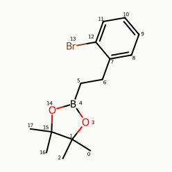 CC1(C)OB(CCc2ccccc2Br)OC1(C)C